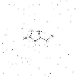 CC(S)c1n[nH]c(=O)o1